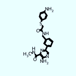 CNC(=O)c1nc(-c2cccc(CNC(=O)CSc3ccc(N)cc3)c2)cnc1N